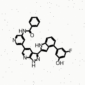 O=C(Nc1cncc(-c2cnc3[nH]nc(-c4cc5c(-c6cc(O)cc(F)c6)cccc5[nH]4)c3c2)c1)c1ccccc1